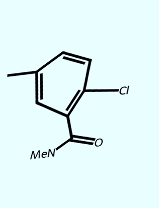 CNC(=O)c1cc(C)ccc1Cl